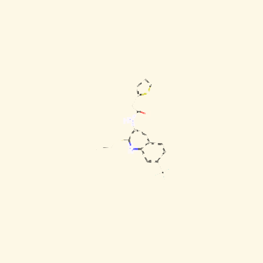 CCSc1nc2cc(C(F)(F)F)ccc2cc1NC(=O)Cc1cccs1